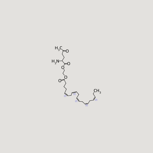 CC/C=C\C/C=C\C/C=C\C/C=C\C/C=C\CCCC(=O)OCCOC(=O)C(N)CCC(C)=O